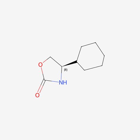 O=C1N[C@H](C2CCCCC2)CO1